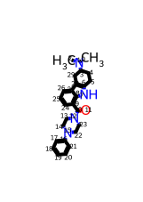 CN(C)C1CCc2[nH]c3c(C(=O)N4CCN(c5ccccc5)CC4)cccc3c2C1